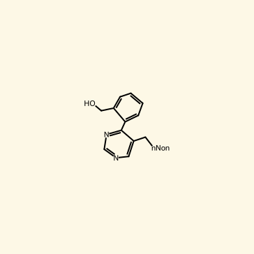 CCCCCCCCCCc1cncnc1-c1ccccc1CO